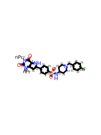 CCCn1c(=O)c2[nH]c(-c3ccc(S(=O)(=O)NC4CCN(Cc5ccc(F)cc5)CC4)cc3)cc2n(CCC)c1=O